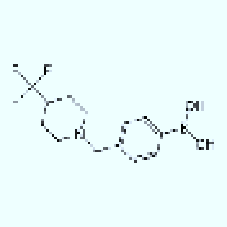 OB(O)c1ccc(CN2CCC(C(F)(F)F)CC2)cc1